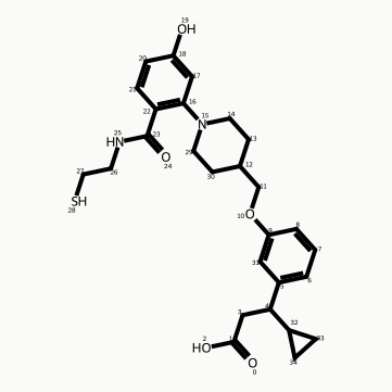 O=C(O)CC(c1cccc(OCC2CCN(c3cc(O)ccc3C(=O)NCCS)CC2)c1)C1CC1